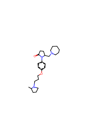 CC1CCCN1CCCOc1ccc(N2C(=O)CCC2CN2CCCCCC2)cc1